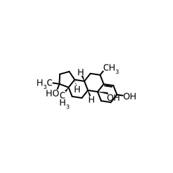 CC1C[C@@H]2[C@@H](CC[C@@]3(C)[C@H]2CCC3(C)O)[C@@]2(CO)CCC(O)C=C12